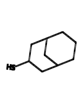 SC1CC2CCCC(C1)C2